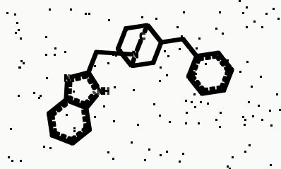 c1ccc(CC2CC3CCC2CN3Cc2nc3ccccc3[nH]2)cc1